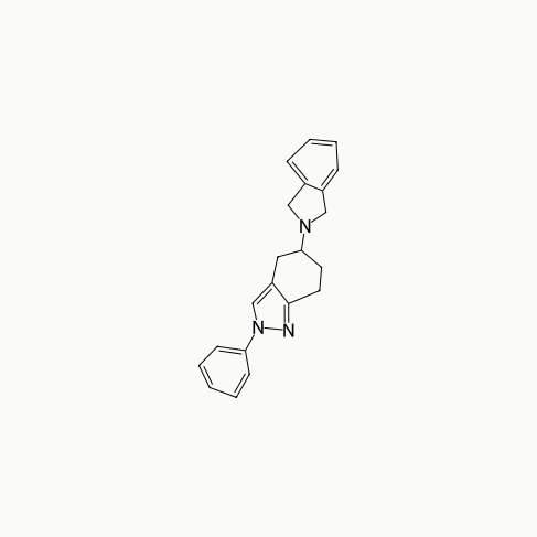 c1ccc(-n2cc3c(n2)CCC(N2Cc4ccccc4C2)C3)cc1